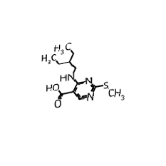 CCC(CC)CNc1nc(SC)ncc1C(=O)O